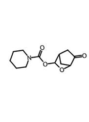 O=C1CC2CC1OC2OC(=O)N1CCCCC1